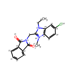 CCn1c(CN2C(=O)c3ccccc3C2=O)[n+](C)c2ccc(Cl)cc21